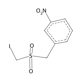 O=[N+]([O-])c1cccc(CS(=O)(=O)CI)c1